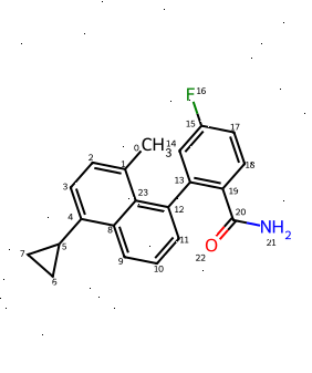 Cc1ccc(C2CC2)c2cccc(-c3cc(F)ccc3C(N)=O)c12